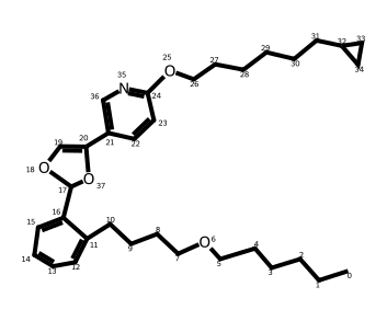 CCCCCCOCCCCc1ccccc1C1OC=C(c2ccc(OCCCCCCC3CC3)nc2)O1